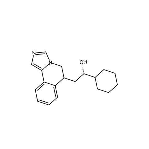 O[C@@H](CC1Cn2cncc2-c2ccccc21)C1CCCCC1